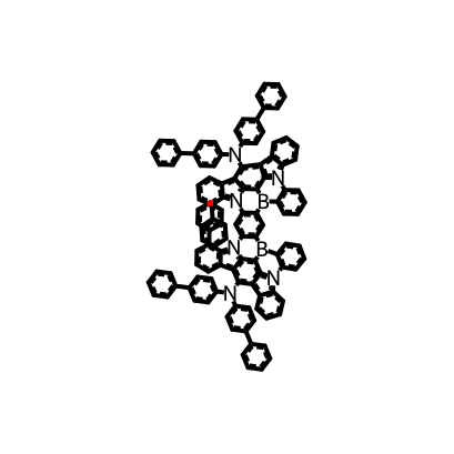 c1ccc(-c2ccc(N(c3ccc(-c4ccccc4)cc3)c3c4c5ccccc5n5c4c4c6c3c3cccc(-c7ccccc7)c3n6-c3cc6c(cc3B4c3ccccc3-5)B3c4ccccc4-n4c5ccccc5c5c(N(c7ccc(-c8ccccc8)cc7)c7ccc(-c8ccccc8)cc7)c7c8cccc(-c9ccccc9)c8n-6c7c3c54)cc2)cc1